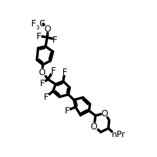 CCCC1COC(c2ccc(-c3cc(F)c(C(F)(F)Oc4ccc(C(F)(F)OC(F)(F)F)cc4)c(F)c3)c(F)c2)OC1